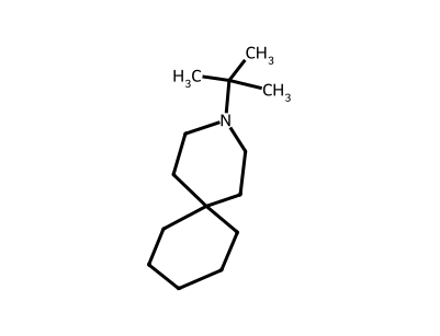 CC(C)(C)N1CCC2(CCCCC2)CC1